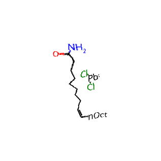 CCCCCCCC/C=C\CCCCCCCC(N)=O.[Cl][Pb][Cl]